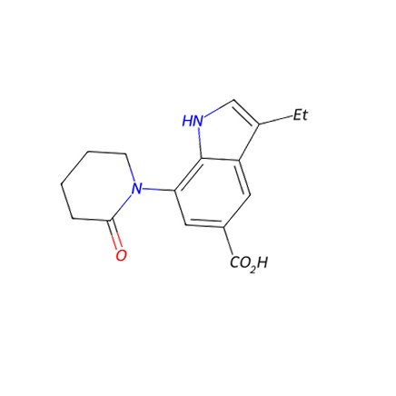 CCc1c[nH]c2c(N3CCCCC3=O)cc(C(=O)O)cc12